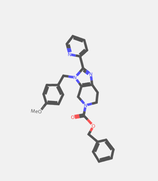 COc1ccc(Cn2c(-c3ccccn3)nc3c2CN(C(=O)OCc2ccccc2)CC3)cc1